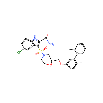 Cc1ccccc1-c1cc(OCC2CN(S(=O)(=O)c3c(C(N)=O)[nH]c4ccc(Cl)cc34)CCO2)ccc1C